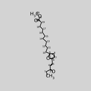 CCC(=O)C=Cc1ccc(CCCCCCCCCCC(=O)OC)o1